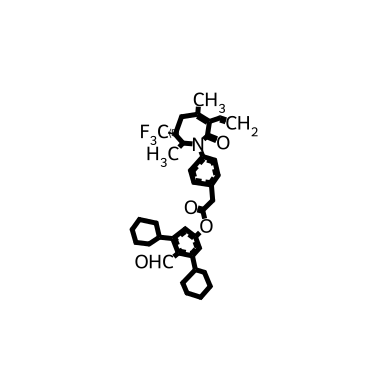 C=CC1=C(C)C[C@@H](C(F)(F)F)C(C)N(c2ccc(CC(=O)Oc3cc(C4CCCCC4)c(C=O)c(C4CCCCC4)c3)cc2)C1=O